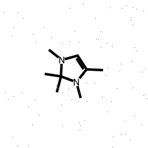 CC1=CN(C)C(C)(C)N1C